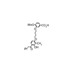 COc1ccc(C(=O)O)cc1OCCCCOc1ccc(C(=O)CC(C)C)c(O)c1C